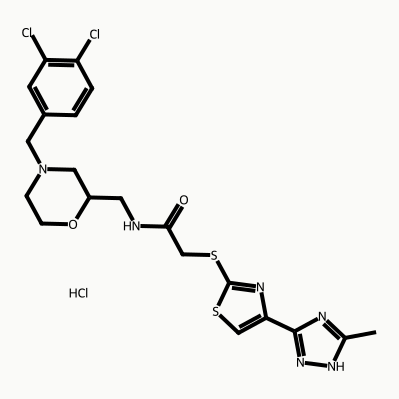 Cc1nc(-c2csc(SCC(=O)NCC3CN(Cc4ccc(Cl)c(Cl)c4)CCO3)n2)n[nH]1.Cl